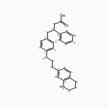 O=C(O)CC(Cc1ccc(OCCc2ccc3c(n2)NCCC3)cc1)c1cccnc1